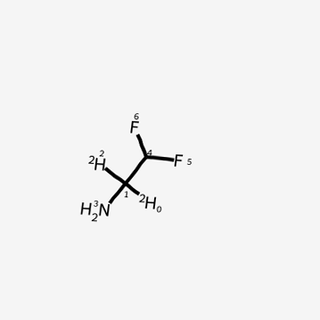 [2H]C([2H])(N)C(F)F